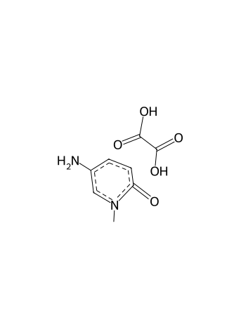 Cn1cc(N)ccc1=O.O=C(O)C(=O)O